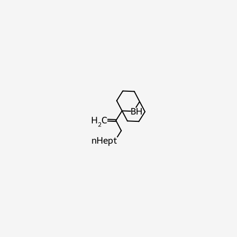 C=C(CCCCCCCC)C12BC(CCC1)CCC2